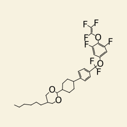 CCCCCCC1COC(C2CCC(c3ccc(C(F)(F)Oc4cc(F)c(OC(F)=C(F)F)c(F)c4)cc3)CC2)OC1